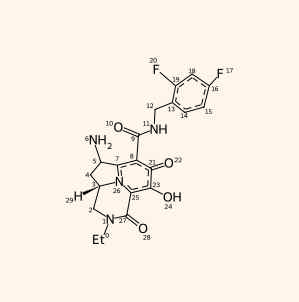 CCN1C[C@@H]2CC(N)c3c(C(=O)NCc4ccc(F)cc4F)c(=O)c(O)c(n32)C1=O